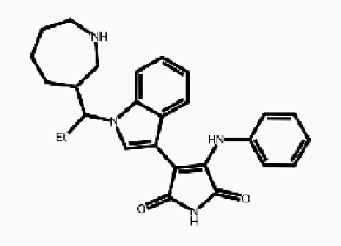 CCC(C1CCCCNC1)n1cc(C2=C(Nc3ccccc3)C(=O)NC2=O)c2ccccc21